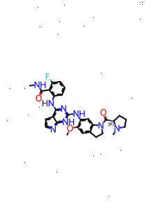 CNC(=O)c1c(F)cccc1Nc1nc(Nc2cc3c(cc2OC)CCN3C(=O)[C@H]2CCCN2C)[nH]c2nccc1-2